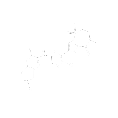 CCN1CCc2cc(Cl)c(Nc3ncc(C(F)(F)F)c(-c4cc5c(s4)C(=O)N(C)CCS5(=O)=O)n3)cc2C1